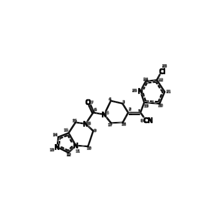 N#CC(=C1CCN(C(=O)N2CCn3cncc3C2)CC1)c1ccc(Cl)cn1